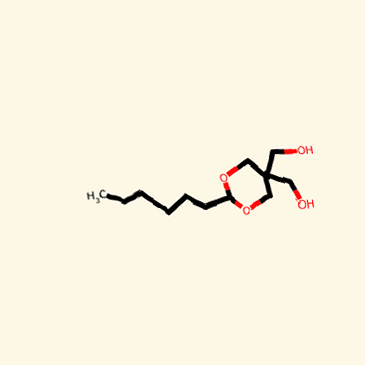 CCCCCCC1OCC(CO)(CO)CO1